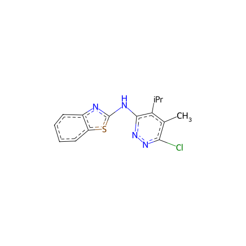 Cc1c(Cl)nnc(Nc2nc3ccccc3s2)c1C(C)C